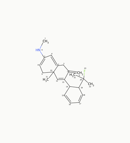 C=C1CC2=CC(NC)=CCC2(C)C=C1C1C=CC=CC1C(C)(C)F